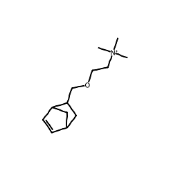 C[N+](C)(C)CCOCC1CC2C=CC1C2